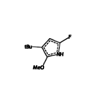 COc1[nH]c(F)cc1C(C)(C)C